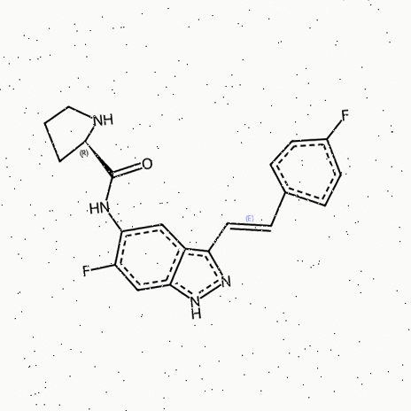 O=C(Nc1cc2c(/C=C/c3ccc(F)cc3)n[nH]c2cc1F)[C@H]1CCCN1